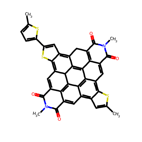 Cc1ccc(-c2cc3c(s2)=C2C=C4C(=O)N(C)C(=O)c5cc6c7cc(C)sc7c7cc8c9c%10c7c6c(c54)C2C=%10C=3CC=9C(=O)N(C)C8=O)s1